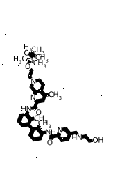 Cc1cc(C(=O)Nc2cccc(-c3cccc(NC(=O)c4ccc(CNCCO)cn4)c3C)c2C)nc2c1CCN(CCO[Si](C)(C)C(C)(C)C)C2